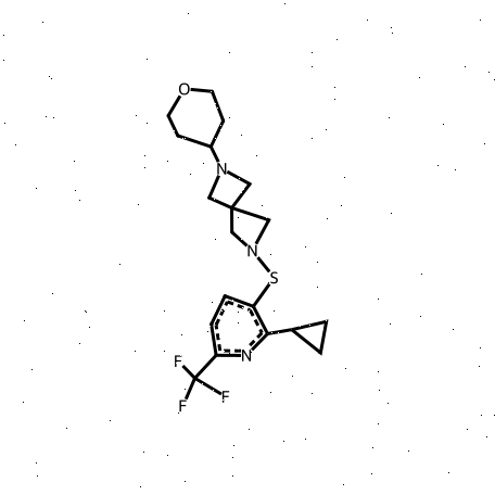 FC(F)(F)c1ccc(SN2CC3(C2)CN(C2CCOCC2)C3)c(C2CC2)n1